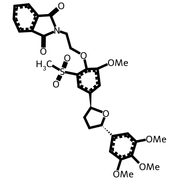 COc1cc([C@@H]2CC[C@@H](c3cc(OC)c(OCCN4C(=O)c5ccccc5C4=O)c(S(C)(=O)=O)c3)O2)cc(OC)c1OC